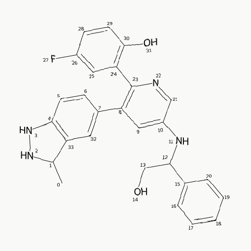 CC1NNc2ccc(-c3cc(NC(CO)c4ccccc4)cnc3-c3cc(F)ccc3O)cc21